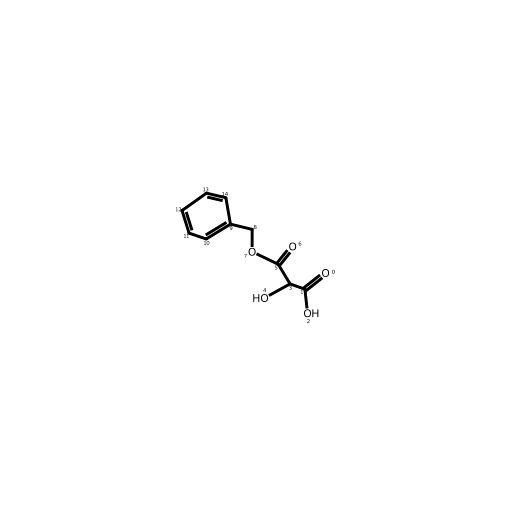 O=C(O)C(O)C(=O)OCc1ccccc1